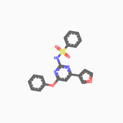 O=S(=O)(Nc1nc(Oc2ccccc2)cc(-c2ccoc2)n1)c1ccccc1